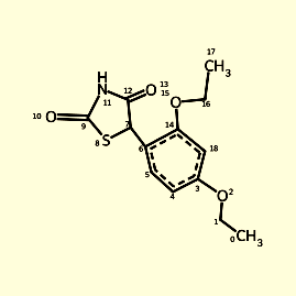 CCOc1ccc(C2SC(=O)NC2=O)c(OCC)c1